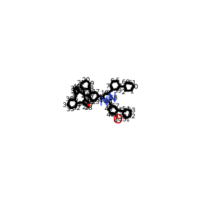 c1ccc(-c2cccc(-c3cc(-c4ccc5c(c4)-c4ccccc4C54c5ccccc5-c5ccccc5-c5ccccc54)nc(-c4ccc5oc6ccccc6c5c4)n3)c2)cc1